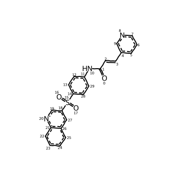 O=C(C=Cc1cccnc1)Nc1ccc(S(=O)(=O)c2cnc3ccccc3c2)cc1